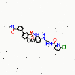 COc1ccc(-c2cccc(C(=O)N(C)C)c2)cc1S(=O)(=O)Nc1cccc(NCCNC(=O)c2cccc(Cl)n2)c1